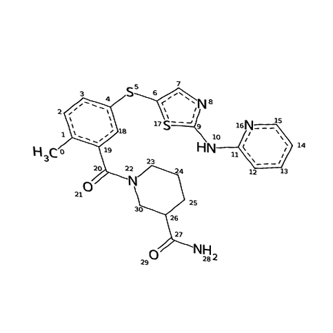 Cc1ccc(Sc2cnc(Nc3ccccn3)s2)cc1C(=O)N1CCCC(C(N)=O)C1